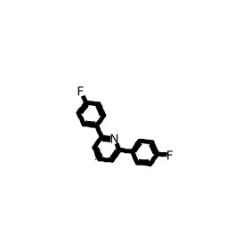 Fc1ccc(-c2c[c]cc(-c3ccc(F)cc3)n2)cc1